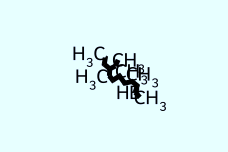 CBC[C@@H](C)CCCC(C)C(CCC)C(C)C